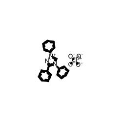 [O-][Cl+3]([O-])([O-])[O-].c1ccc(-c2n[n+](-c3ccccc3)cn2-c2ccccc2)cc1